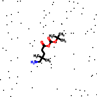 CC(C)(CN)CCC(=O)OC(=O)OC(C)(C)C